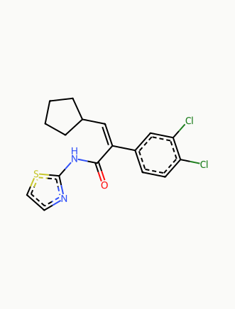 O=C(Nc1nccs1)C(=CC1CCCC1)c1ccc(Cl)c(Cl)c1